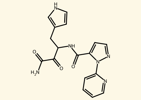 NC(=O)C(=O)C(Cc1cc[nH]c1)NC(=O)c1ccnn1-c1ccccn1